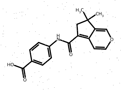 CC1(C)CC(C(=O)Nc2ccc(C(=O)O)cc2)=C2C=COC=C21